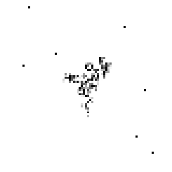 C=CCOCC(C)(NC(=O)C(F)(F)F)C(=O)O